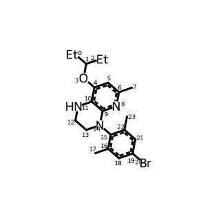 CCC(CC)Oc1cc(C)nc2c1NCCN2c1c(C)cc(Br)cc1C